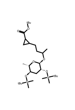 CC(CCC1CC1C(=O)OC(C)(C)C)O[C@@H]1O[C@@H](C)[C@H](O[Si](C)(C)C(C)(C)C)C[C@H]1O[Si](C)(C)C(C)(C)C